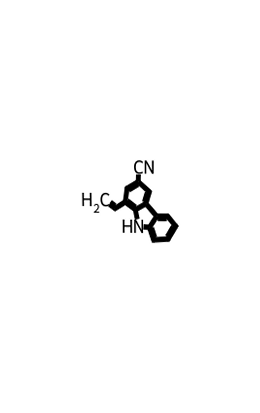 C=Cc1cc(C#N)cc2c1[nH]c1ccccc12